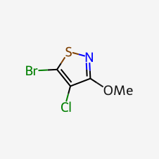 COc1nsc(Br)c1Cl